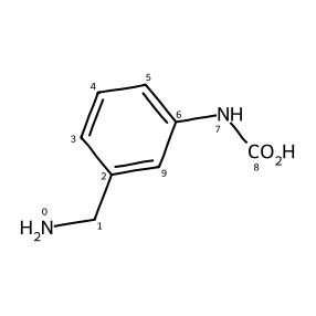 NCc1cccc(NC(=O)O)c1